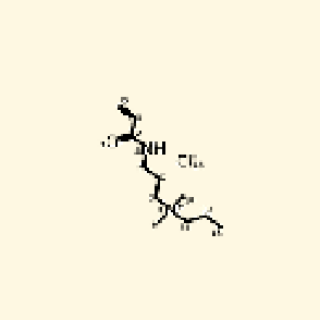 C=CC(=O)NCCC[N+](C)(C)CCC.[Cl-]